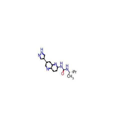 CC(C)[C@H](C)NC(=O)Nc1ccc2ncc(-c3cn[nH]c3)cc2n1